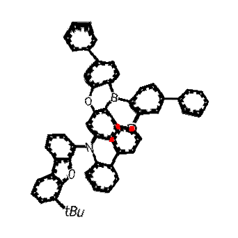 CC(C)(C)c1cccc2c1oc1c(N(c3cc4c5c(c3)Oc3cc(-c6ccccc6)ccc3B5c3ccc(-c5ccccc5)cc3O4)c3ccccc3-c3ccccc3)cccc12